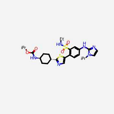 CCNS(=O)(=O)c1cc(Nc2nccn2C(C)C)ccc1-c1cnc([C@H]2CC[C@H](NC(=O)OC(C)C)CC2)s1